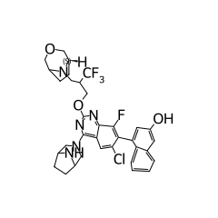 Oc1cc(-c2c(Cl)cc3c(N4CC5CCC(C4)N5)nc(OCC(CN4C5CC[C@H]4COC5)C(F)(F)F)nc3c2F)c2ccccc2c1